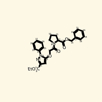 CCOC(=O)c1cc(OCC(=O)N2CCCC2C(=O)OCc2ccccc2)n(-c2ccccc2)n1